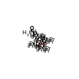 CC(C)[Si](c1c(F)c(F)c([B-](c2c(F)c(F)c([Si](C(C)C)(C(C)C)C(C)C)c(F)c2F)(c2c(F)c(F)c([Si](C(C)C)(C(C)C)C(C)C)c(F)c2F)c2c(F)c(F)c([Si](C(C)C)(C(C)C)C(C)C)c(F)c2F)c(F)c1F)(C(C)C)C(C)C.C[NH+](c1ccccc1)c1ccccc1